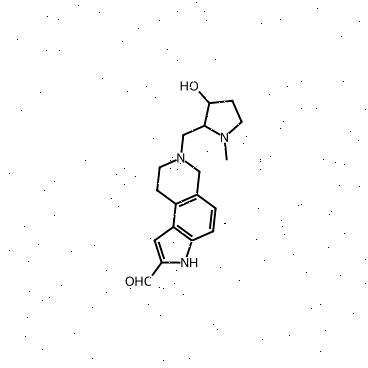 CN1CCC(O)C1CN1CCc2c(ccc3[nH]c(C=O)cc23)C1